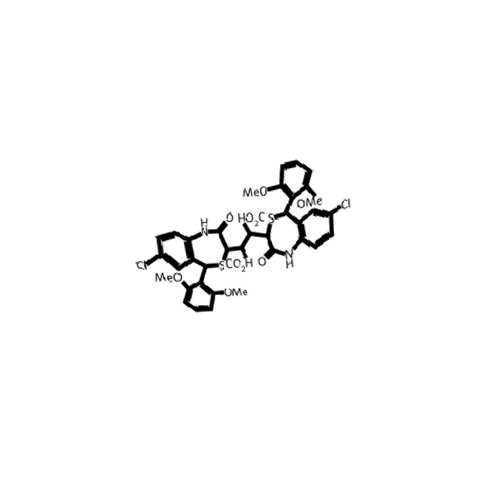 COc1cccc(OC)c1C1SC(C(C(=O)O)C(C(=O)O)C2SC(c3c(OC)cccc3OC)c3cc(Cl)ccc3NC2=O)C(=O)Nc2ccc(Cl)cc21